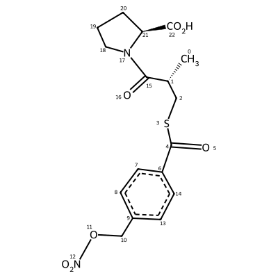 C[C@H](CSC(=O)c1ccc(CO[N+](=O)[O-])cc1)C(=O)N1CCC[C@H]1C(=O)O